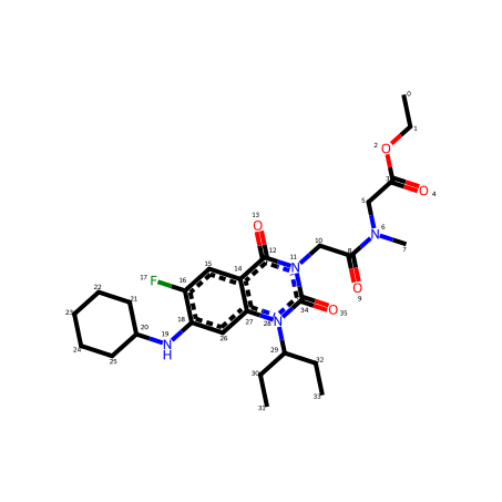 CCOC(=O)CN(C)C(=O)Cn1c(=O)c2cc(F)c(NC3CCCCC3)cc2n(C(CC)CC)c1=O